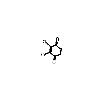 O=C1CCC(=O)C(Cl)=C1Cl